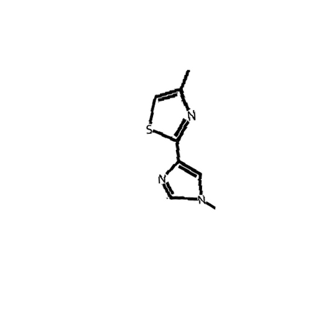 Cc1csc(-c2cn(C)[c]n2)n1